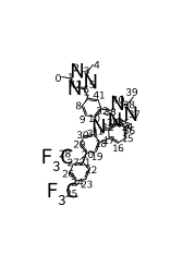 Cc1nc(C)nc(-c2ccc(-n3c4ccccc4c4cc(-c5ccc(C(F)(F)F)cc5C(F)(F)F)ccc43)c(-c3nc(C)nc(C)n3)c2)n1